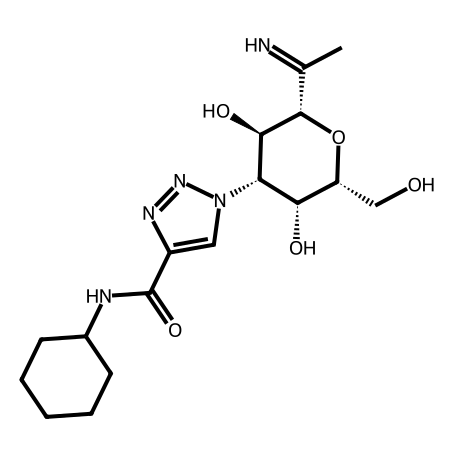 CC(=N)[C@@H]1O[C@H](CO)[C@H](O)[C@H](n2cc(C(=O)NC3CCCCC3)nn2)[C@H]1O